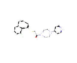 O=C(CSc1cccc2cccc(Cl)c12)N1CCN(c2ccncc2)CC1